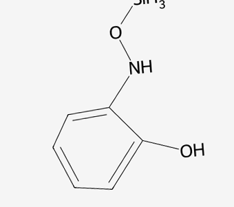 Oc1ccccc1NO[SiH3]